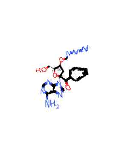 [N-]=[N+]=NCO[C@H]1C[C@](C(=O)c2ccccc2)(n2cnc3c(N)ncnc32)O[C@@H]1CO